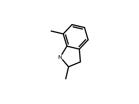 Cc1cccc2c1[N]C(C)C2